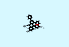 CC(C)(C)OC(=O)c1cc(-c2ccccc2)cc(-c2ccccc2)c1-c1c2ccc(=N)cc-2oc2cc(N)ccc12